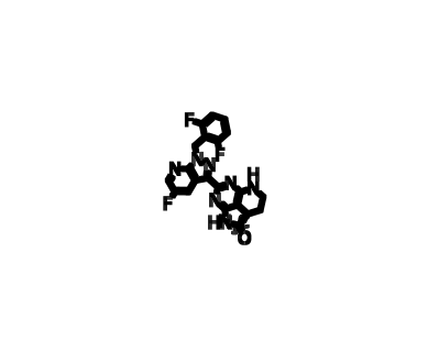 C[C@]12CCNc3nc(-c4nn(Cc5c(F)cccc5F)c5ncc(F)cc45)nc(c31)NC2=O